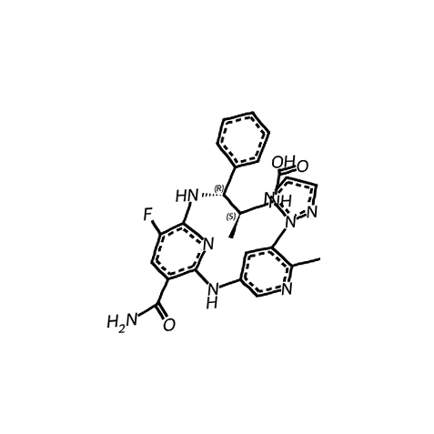 Cc1ncc(Nc2nc(N[C@H](c3ccccc3)[C@H](C)NC(=O)O)c(F)cc2C(N)=O)cc1-n1nccn1